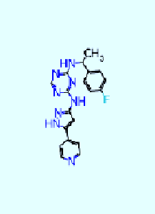 CC(Nc1ncnc(Nc2cc(-c3ccncc3)[nH]n2)n1)c1ccc(F)cc1